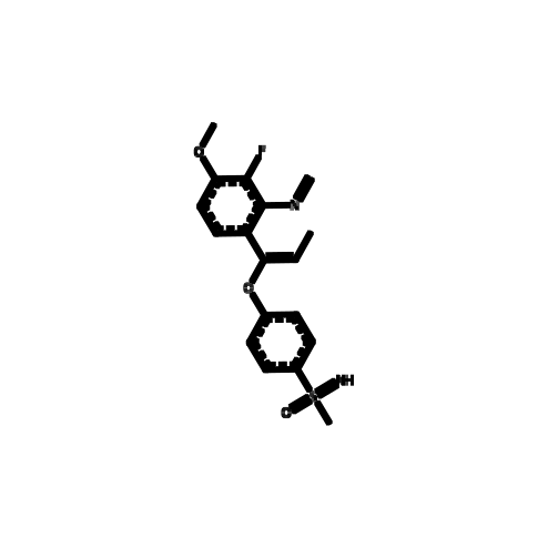 C=Nc1c(/C(=C\C)Oc2ccc(S(C)(=N)=O)cc2)ccc(OC)c1F